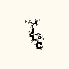 CN(/N=C/c1ncc(C(=O)N(C)c2cccnc2)n1C)C(=O)O